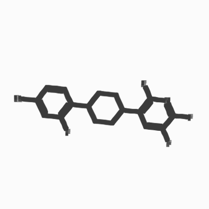 CCc1ccc(C2CCC(c3cc(F)c(F)nc3F)CC2)c(F)c1